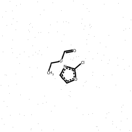 CCOC=O.Clc1ncco1